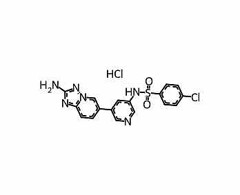 Cl.Nc1nc2ccc(-c3cncc(NS(=O)(=O)c4ccc(Cl)cc4)c3)cn2n1